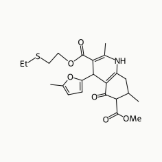 CCSCCOC(=O)C1=C(C)NC2=C(C(=O)C(C(=O)OC)C(C)C2)C1c1ccc(C)o1